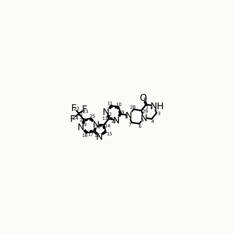 O=C1NCCN2CCN(c3ccnc(-c4cnc5cnc(C(F)(F)F)cn45)n3)CC12